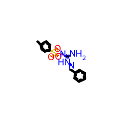 Cc1ccc(S(=O)(=O)ON=C(N)NN=Cc2ccccc2)cc1